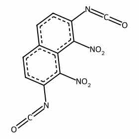 O=C=Nc1ccc2ccc(N=C=O)c([N+](=O)[O-])c2c1[N+](=O)[O-]